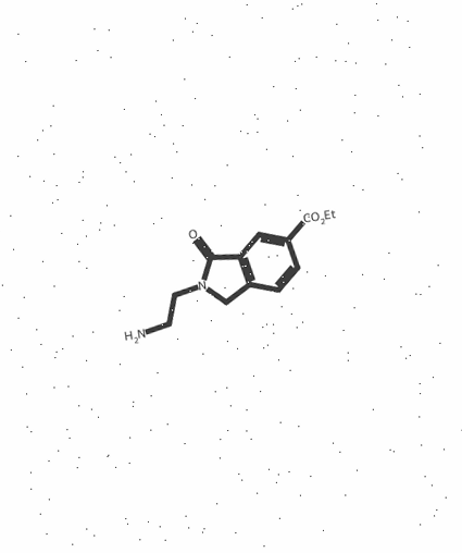 CCOC(=O)c1ccc2c(c1)C(=O)N(CCN)C2